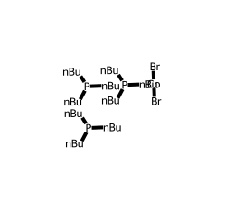 CCCCP(CCCC)CCCC.CCCCP(CCCC)CCCC.CCCCP(CCCC)CCCC.[Br][Co][Br]